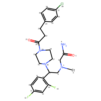 CCN(CC(N)=O)CC(c1ccc(F)cc1F)N1CCN(C(=O)[CH]Cc2ccc(Cl)cc2)CC1